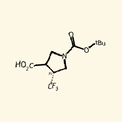 CC(C)(C)OC(=O)N1CC(C(=O)O)[C@@H](C(F)(F)F)C1